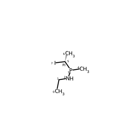 CCNP(C)[C@@H](C)I